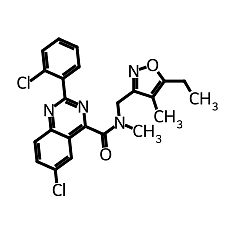 CCc1onc(CN(C)C(=O)c2nc(-c3ccccc3Cl)nc3ccc(Cl)cc23)c1C